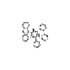 c1ccc(-c2nc(-c3ccccc3-c3ccccc3)nc(C34CC(c5ccccc53)c3ccccc34)n2)cc1